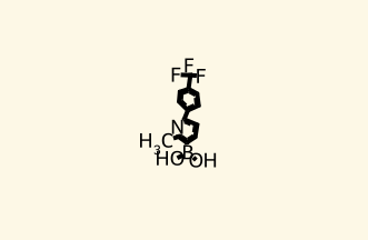 Cc1nc(-c2ccc(C(F)(F)F)cc2)ccc1B(O)O